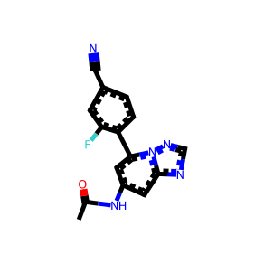 CC(=O)Nc1cc(-c2ccc(C#N)cc2F)n2ncnc2c1